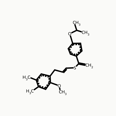 C=C(S/C=C/Cc1cc(C)c(C)cc1OC)c1ccc(OC(C)C)cc1